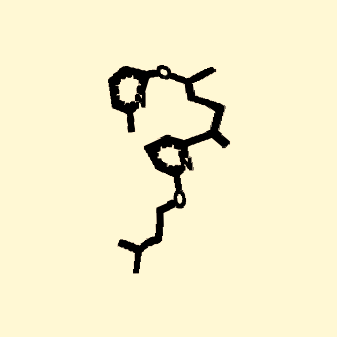 Cc1cccc(OC(C)CCC(C)c2cccc(OCCC(C)C)n2)n1